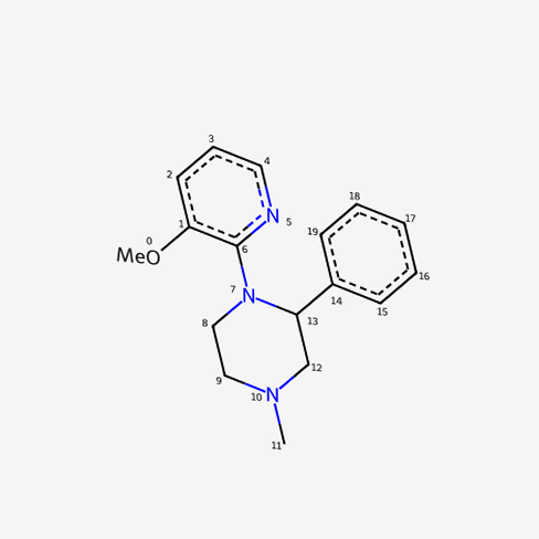 COc1cccnc1N1CCN(C)CC1c1ccccc1